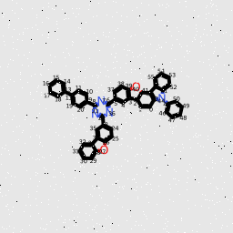 C1=CC2c3cc(-c4nc(-c5ccc(-c6ccccc6)cc5)nc(-c5ccc6oc7ccccc7c6c5)n4)ccc3OC2c2c1n(-c1ccccc1)c1ccccc21